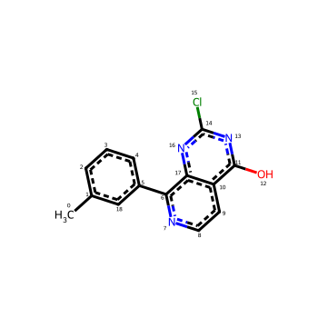 Cc1cccc(-c2nccc3c(O)nc(Cl)nc23)c1